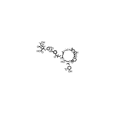 CO[C@@H]1C[C@H](/C=C(\C)[C@H]2OC(=O)[C@@H]3CCCCN3C(=O)C(=O)[C@]3(O)O[C@H]([C@@H](C)C[C@@H](C)C/C(C)=C/[C@@H](CCC(C)(C)C(=O)c4cccc(NC(=O)[C@@H]5C[C@H](SC6=C(C(=O)O)N7C(=O)[C@H]([C@@H](C)O)[C@H]7[C@H]6C)CN5)c4)C(=O)C[C@H](O)[C@H]2C)[C@@H](C)C[C@H]3C)CC[C@H]1O